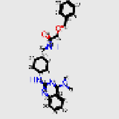 CN(C)c1nc(N[C@H]2CC[C@@H](CNC(=O)COCc3ccccc3)CC2)nc2ccccc12